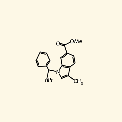 CCCC(c1ccccc1)n1cc(C)c2ccc(C(=O)OC)cc21